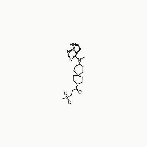 CN(c1ncnc2[nH]ccc12)C1CCC2(CC1)CCN(C(=O)CCS(C)(=O)=O)CC2